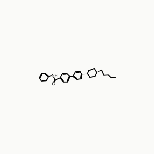 CCCCC[C@H]1CC[C@H](c2ccc(-c3ccc(C(=O)Nc4cc[c]cc4)cc3)cc2)CC1